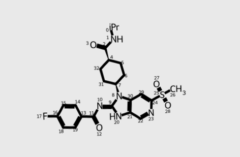 CC(C)NC(=O)[C@H]1CC[C@@H](n2/c(=N/C(=O)c3ccc(F)cc3)[nH]c3cnc(S(C)(=O)=O)cc32)CC1